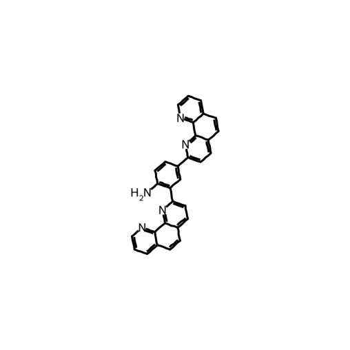 Nc1ccc(-c2ccc3ccc4cccnc4c3n2)cc1-c1ccc2ccc3cccnc3c2n1